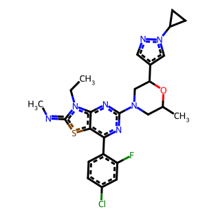 CCn1/c(=N\C)sc2c(-c3ccc(Cl)cc3F)nc(N3CC(C)OC(c4cnn(C5CC5)c4)C3)nc21